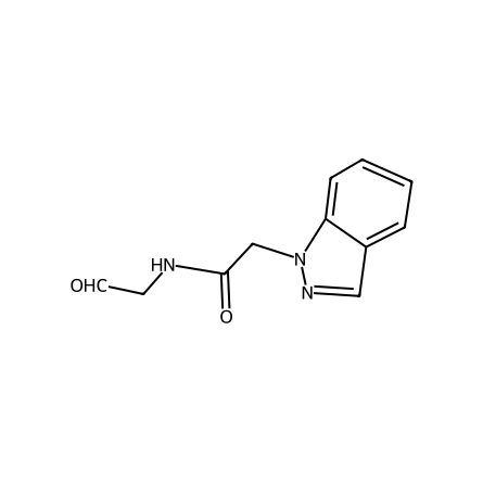 O=CCNC(=O)Cn1ncc2ccccc21